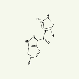 O=C(c1n[nH]c2cc(Br)ccc12)N1C[C@@H]2C[C@H]1CN2